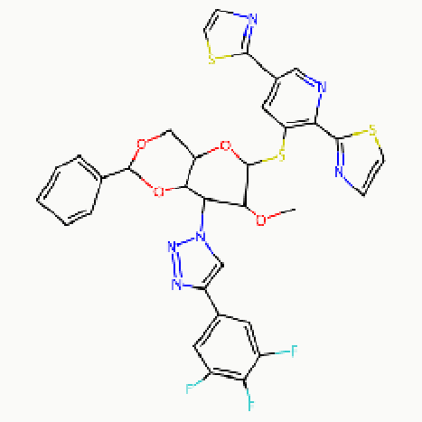 COC1C(Sc2cc(-c3nccs3)cnc2-c2nccs2)OC2COC(c3ccccc3)OC2C1n1cc(-c2cc(F)c(F)c(F)c2)nn1